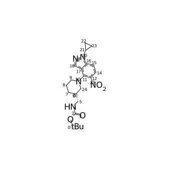 CC(C)(C)OC(=O)NC[C@@H]1CCCN(c2c([N+](=O)[O-])ccc3c2cnn3C2CC2)C1